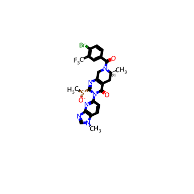 C[C@@H]1Cc2c(nc([S+](C)[O-])n(-c3ccc4c(ncn4C)n3)c2=O)CN1C(=O)c1ccc(Br)c(C(F)(F)F)c1